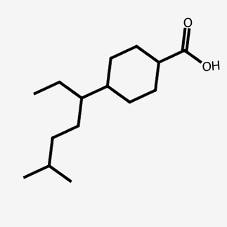 CCC(CCC(C)C)C1CCC(C(=O)O)CC1